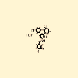 Cl.Fc1ccc(CNC2=N[C@@H](c3cccc(Cl)c3)[C@@H](c3cccc(Cl)c3)N2)cc1F